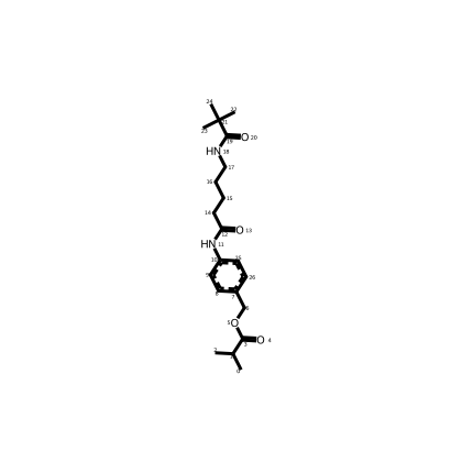 CC(C)C(=O)OCc1ccc(NC(=O)CCCCNC(=O)C(C)(C)C)cc1